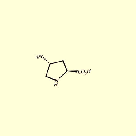 CCC[C@H]1CN[C@H](C(=O)O)C1